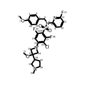 COc1ccc(CN(c2cccc(F)n2)S(=O)(=O)c2c(F)cc(N3CC(OC)(C4CCN(C)C4)C3)c(Cl)c2F)cc1